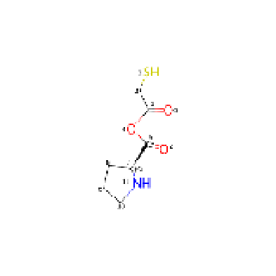 O=C(CS)OC(=O)[C@@H]1CCCN1